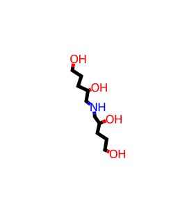 OCCCC(O)CNCC(O)CCCO